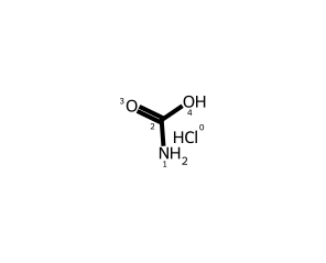 Cl.NC(=O)O